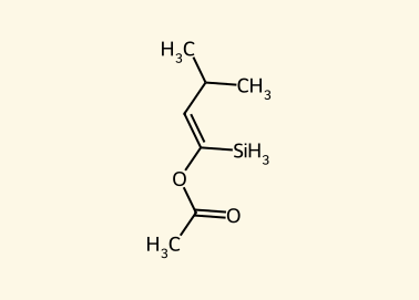 CC(=O)OC([SiH3])=CC(C)C